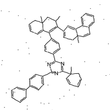 CC1CC2(C)CC=CC=C2C(c2ccc(-c3nc(-c4ccc(-c5ccccc5)cc4)nc(C4(C)C=CC=CC4)n3)cc2)=C1C1=CCC2(C)C=Cc3ccccc3C2=C1